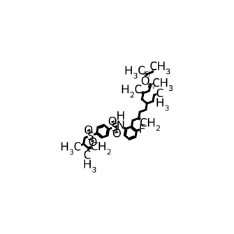 C=C(CCC(CCC)CC(=C)C[C@@H](C)O[C@@H](C)CC)Cc1c(F)cccc1NS(=O)(=O)c1ccc(S(=O)(=O)CC(C)C(=C)C)cc1